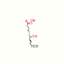 CCCCCCCCCC=CC(O)CCCCCC(=O)OO